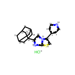 Cl.c1cc(-c2csc3nc(C45CC6CC(CC(C6)C4)C5)cn23)ccn1